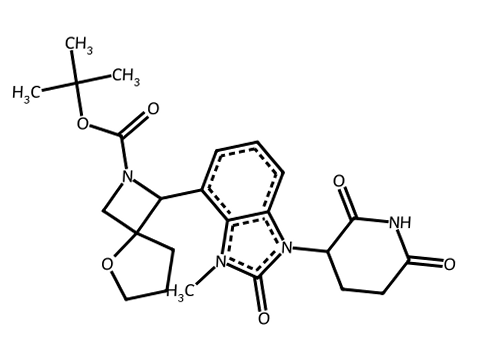 Cn1c(=O)n(C2CCC(=O)NC2=O)c2cccc(C3N(C(=O)OC(C)(C)C)CC34CCCO4)c21